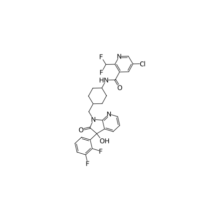 O=C(NC1CCC(CN2C(=O)C(O)(c3cccc(F)c3F)c3cccnc32)CC1)c1cc(Cl)cnc1C(F)F